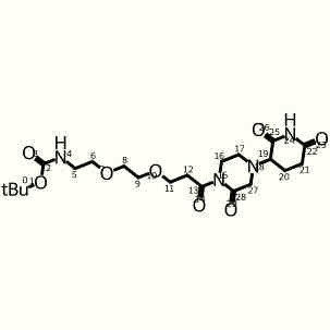 CC(C)(C)OC(=O)NCCOCCOCCC(=O)N1CCN(C2CCC(=O)NC2=O)CC1=O